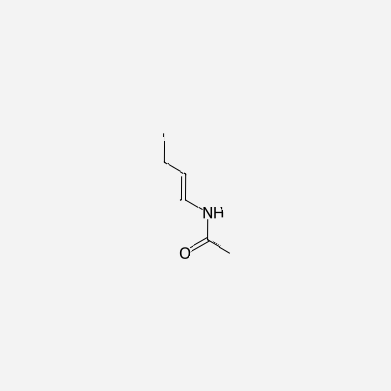 CC/C=[C]/NC(C)=O